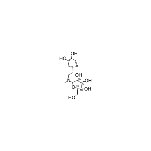 CN(CCc1ccc(O)c(O)c1)C1O[C@H](CO)[C@@H](O)[C@H](O)[C@H]1O